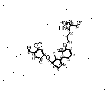 COc1cc(OCc2cccc(-c3cccc(OCCCN4NNC=C4C=O)c3C)c2C)c(Cl)cc1C=O